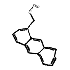 O=COCc1cccc2cc3ccccc3cc12